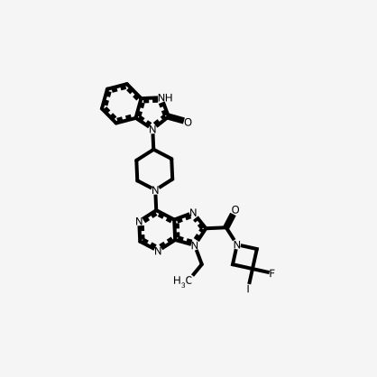 CCn1c(C(=O)N2CC(F)(I)C2)nc2c(N3CCC(n4c(=O)[nH]c5ccccc54)CC3)ncnc21